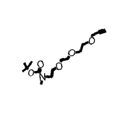 C#CCOCCOCCOCCN(C)C(=O)OC(C)(C)C